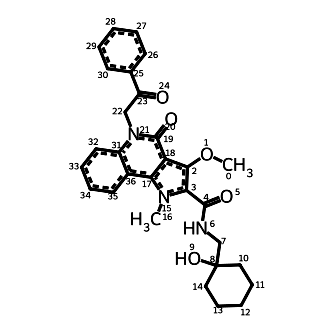 COc1c(C(=O)NCC2(O)CCCCC2)n(C)c2c1c(=O)n(CC(=O)c1ccccc1)c1ccccc21